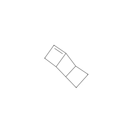 C1=C2C(C1)C1CCC21